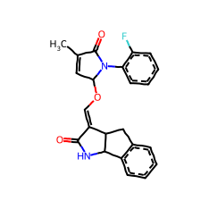 CC1=CC(OC=C2C(=O)NC3c4ccccc4CC23)N(c2ccccc2F)C1=O